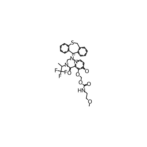 COCCNC(=O)OCOc1c2n(ccc1=O)N([C@H]1c3ccccc3CSc3ccccc31)CN(C(C)C(F)(F)F)C2=O